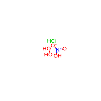 Cl.O=[N+]([O-])O.OO